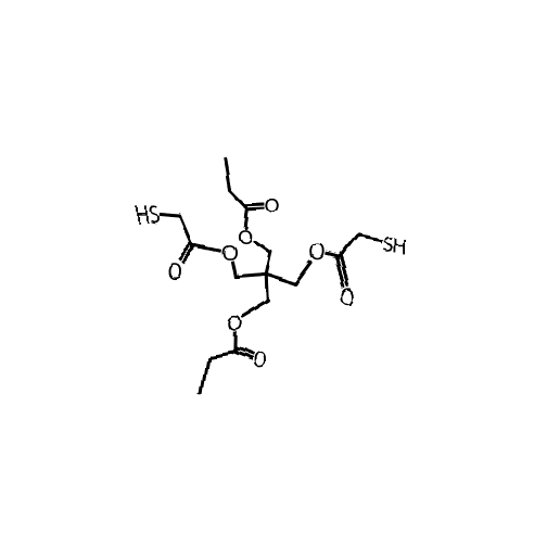 CCC(=O)OCC(COC(=O)CC)(COC(=O)CS)COC(=O)CS